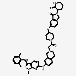 Cc1cccc(C)c1Nc1nn(C)c2nc(Nc3ccc4c(c3)CN(CC(=O)N3CCC(Oc5ccc6c(c5)C(=O)N(C5CCCNC5=O)C6)CC3)CC4)ncc12